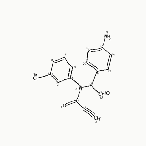 C#CC(=O)N(c1cccc(Cl)c1)C(C=O)c1ccc(N)cc1